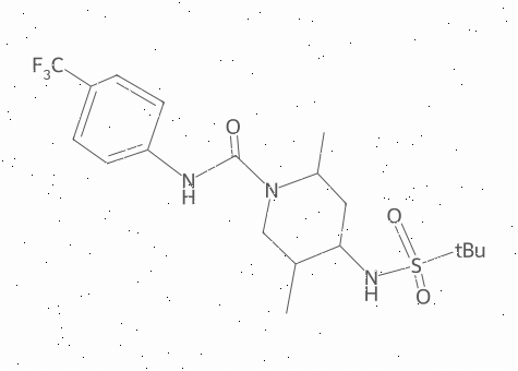 CC1CN(C(=O)Nc2ccc(C(F)(F)F)cc2)C(C)CC1NS(=O)(=O)C(C)(C)C